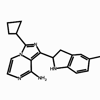 Cc1ccc2c(c1)CC(c1nc(C3CCC3)n3ccnc(N)c13)N2